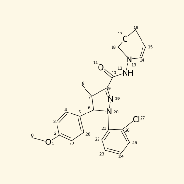 COc1ccc(C2C(C)C(C(=O)NN3C=CCCC3)=NN2c2ccccc2Cl)cc1